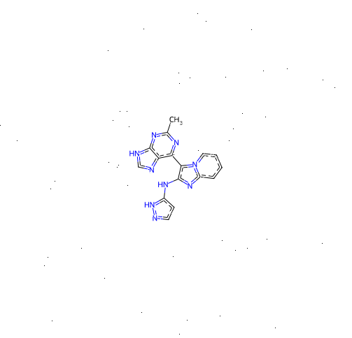 Cc1nc(-c2c(Nc3ccn[nH]3)nc3ccccn23)c2nc[nH]c2n1